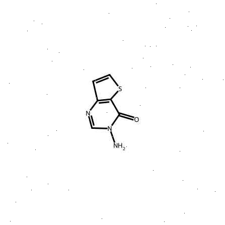 Nn1cnc2ccsc2c1=O